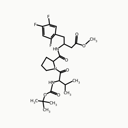 COC(=O)CC(Cc1cc(F)c(F)cc1F)NC(=O)C1CCCN1C(=O)C(NC(=O)OC(C)(C)C)C(C)C